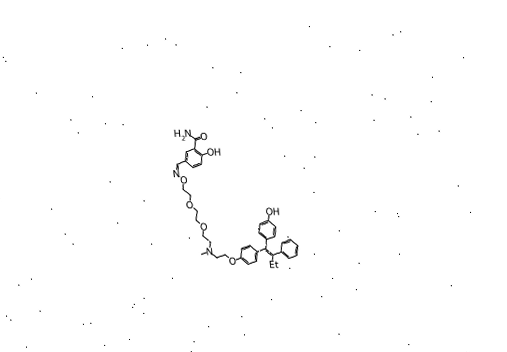 CC/C(=C(/c1ccc(O)cc1)c1ccc(OCCN(C)CCOCCOCCO/N=C\c2ccc(O)c(C(N)=O)c2)cc1)c1ccccc1